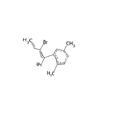 C=C/C(Br)=C(/c1cc(C)ccc1C)C(C)C